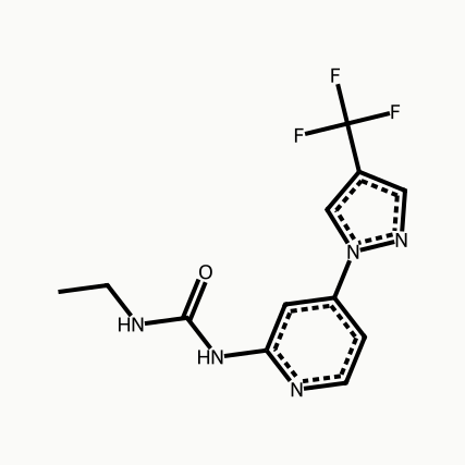 CCNC(=O)Nc1cc(-n2cc(C(F)(F)F)cn2)ccn1